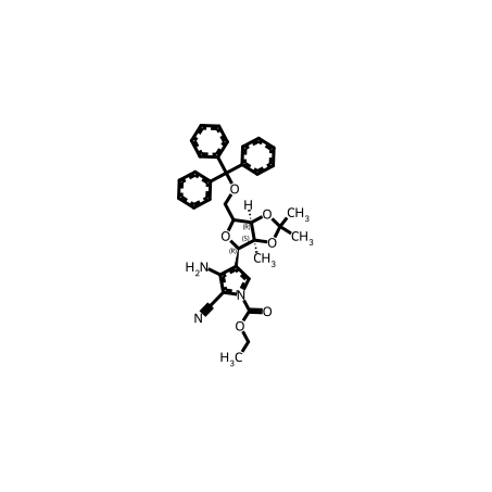 CCOC(=O)n1cc([C@H]2OC(COC(c3ccccc3)(c3ccccc3)c3ccccc3)[C@H]3OC(C)(C)O[C@@]23C)c(N)c1C#N